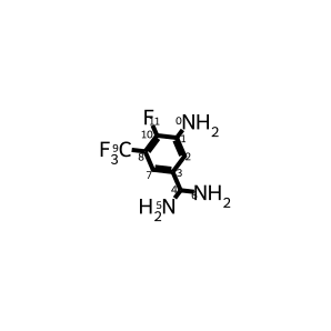 Nc1cc(C(N)N)cc(C(F)(F)F)c1F